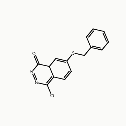 O=C1N=NC(Cl)=C2C=CC(SCc3ccccc3)=CC12